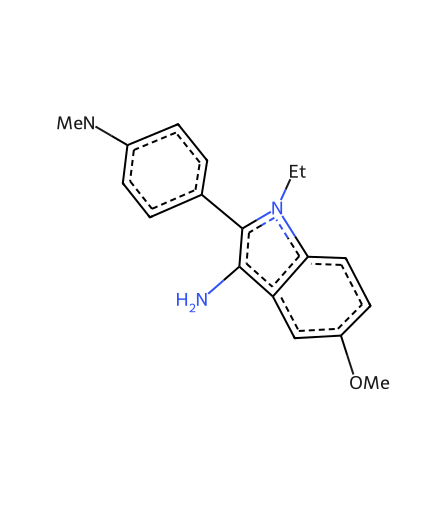 CCn1c(-c2ccc(NC)cc2)c(N)c2cc(OC)ccc21